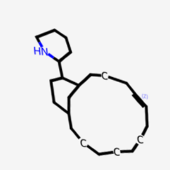 C1=C\CCCC2CC(CCCCCCC/1)CCC2C1CCCCN1